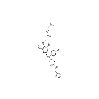 COc1cc(/C=C2/C(C)=C(CC(=O)NCc3ccco3)c3cc(F)ccc32)cc(OC)c1OCCC(=O)OCCN(C)C